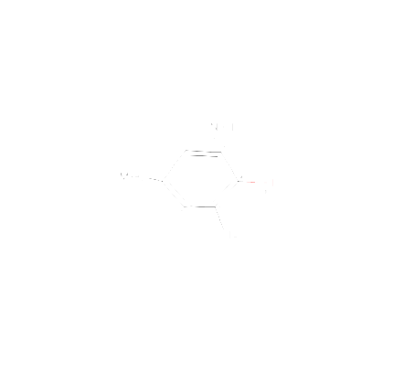 COc1ccc(O)c(C(C)(C)C)c1.[NaH]